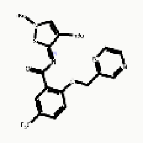 CCCCc1cn(C(C)(C)C)s/c1=N\C(=O)c1cc(C(F)(F)F)ccc1OCc1cnccn1